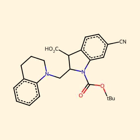 CC(C)(C)OC(=O)N1c2cc(C#N)ccc2C(C(=O)O)C1CN1CCCc2ccccc21